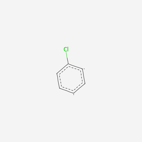 Clc1[c]c[c]cc1